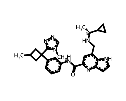 CC1CC(c2cccc(NC(=O)c3cc(CN[C@@H](C)C4CC4)c4[nH]ccc4n3)c2)(c2nncn2C)C1